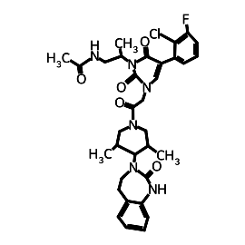 CC(=O)NCC(C)n1c(=O)c(-c2cccc(F)c2Cl)cn(CC(=O)N2CC(C)C(N3CCc4ccccc4NC3=O)C(C)C2)c1=O